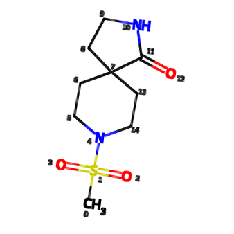 CS(=O)(=O)N1CCC2(CCNC2=O)CC1